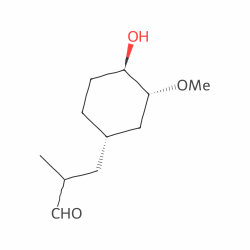 CO[C@@H]1C[C@H](CC(C)C=O)CC[C@H]1O